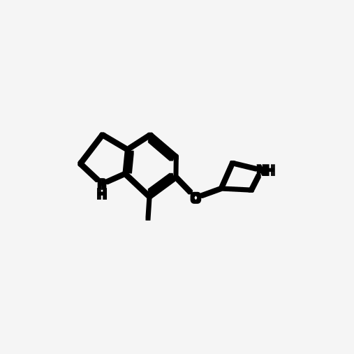 Cc1c(OC2CNC2)ccc2c1BCC2